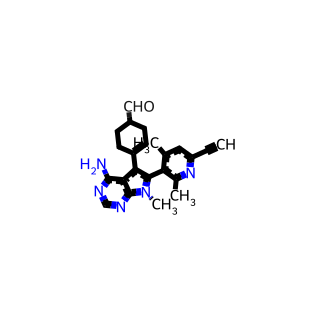 C#Cc1cc(C)c(-c2c(C3=CCC(C=O)CC3)c3c(N)ncnc3n2C)c(C)n1